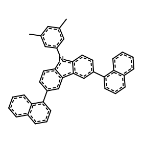 Cc1cc(C)cc(-n2c3ccc(-c4cccc5ccccc45)cc3c3cc(-c4cccc5ccccc45)ccc32)c1